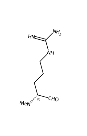 CN[C@@H](C=O)CCCNC(=N)N